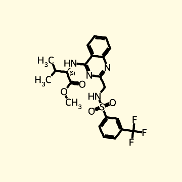 COC(=O)[C@@H](Nc1nc(CNS(=O)(=O)c2cccc(C(F)(F)F)c2)nc2ccccc12)C(C)C